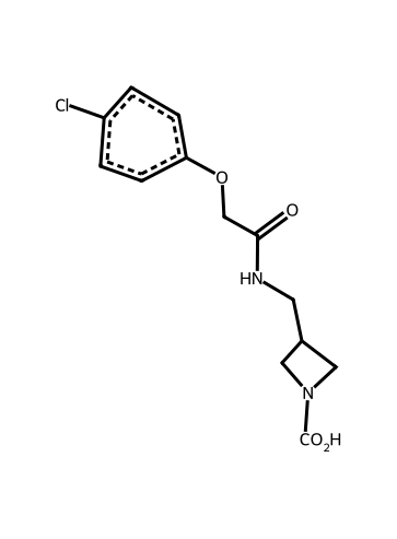 O=C(COc1ccc(Cl)cc1)NCC1CN(C(=O)O)C1